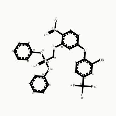 O=[N+]([O-])c1ccc(Oc2ccc(C(F)(F)F)cc2Cl)cc1OCP(=O)(Oc1ccccc1)Oc1ccccc1